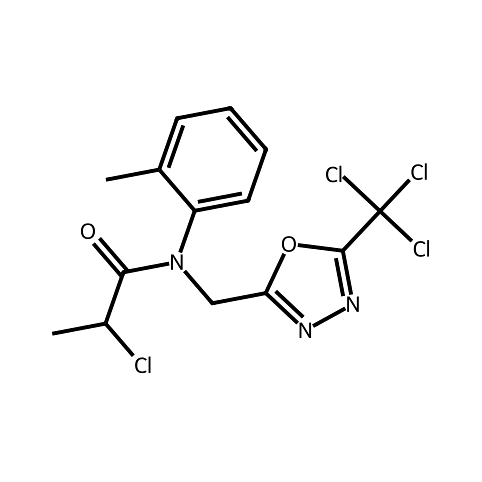 Cc1ccccc1N(Cc1nnc(C(Cl)(Cl)Cl)o1)C(=O)C(C)Cl